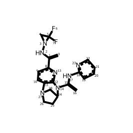 C=C(NN1CC1(F)F)c1ccc2c(n1)N(C(=C)Nc1ccccn1)C1CCN2C1